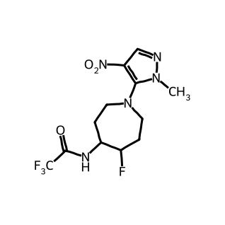 Cn1ncc([N+](=O)[O-])c1N1CCC(F)C(NC(=O)C(F)(F)F)CC1